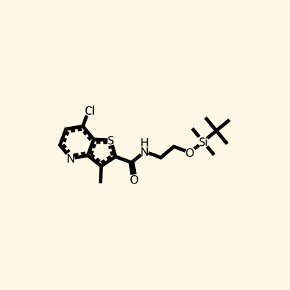 Cc1c(C(=O)NCCO[Si](C)(C)C(C)(C)C)sc2c(Cl)ccnc12